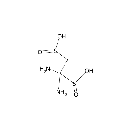 NC(N)(CS(=O)O)S(=O)O